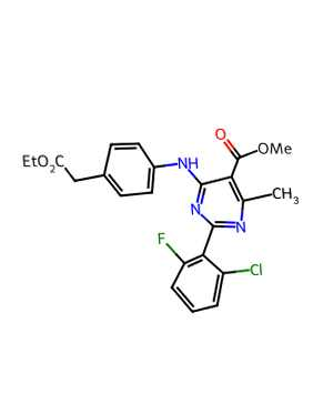 CCOC(=O)Cc1ccc(Nc2nc(-c3c(F)cccc3Cl)nc(C)c2C(=O)OC)cc1